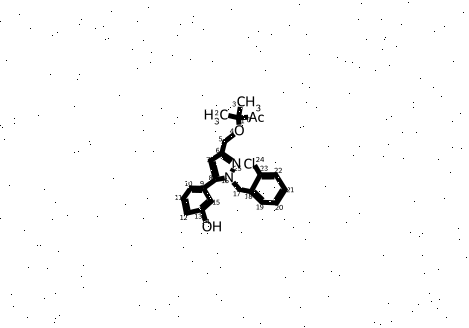 CC(=O)C(C)(C)OCc1cc(-c2cccc(O)c2)n(Cc2ccccc2Cl)n1